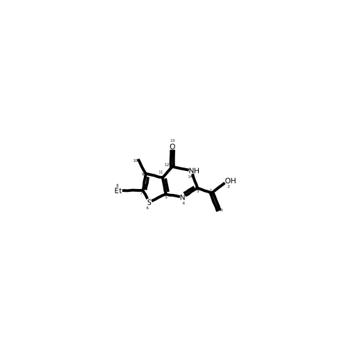 C=C(O)c1nc2sc(CC)c(C)c2c(=O)[nH]1